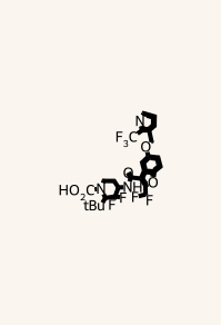 CC(C)(C)C1N(C(=O)O)CCC(NC(=O)c2c(C(F)F)oc3ccc(OCc4cccnc4C(F)(F)F)cc23)C1(F)F